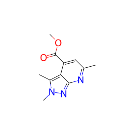 COC(=O)c1cc(C)nc2nn(C)c(C)c12